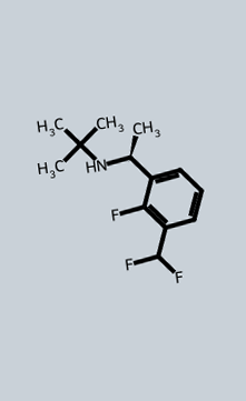 C[C@H](NC(C)(C)C)c1cccc(C(F)F)c1F